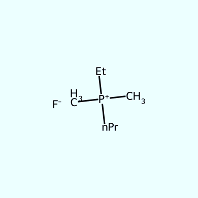 CCC[P+](C)(C)CC.[F-]